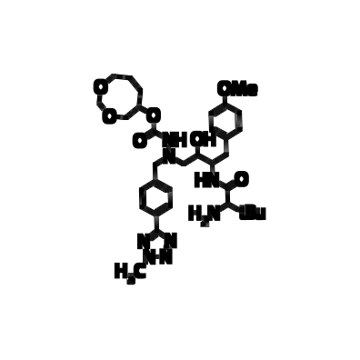 COc1ccc(CC(NC(=O)C(N)C(C)(C)C)C(O)CN(Cc2ccc(-c3nnn(C)n3)cc2)NC(=O)OC2CCCOCOC2)cc1